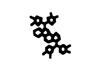 Cc1ccc(N(c2ccc(C)c(C)c2)c2cc3c(ccc4c(N(c5ccc(C)c(C)c5)c5ccc(C)c(C)c5)cccc43)c3c2=CCCC=3)cc1C